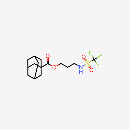 O=C(OCCCNS(=O)(=O)C(F)(F)F)C12CC3CC(CC(C3)C1)C2